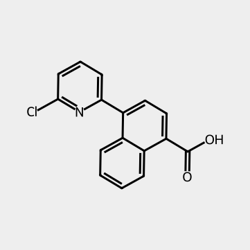 O=C(O)c1ccc(-c2cccc(Cl)n2)c2ccccc12